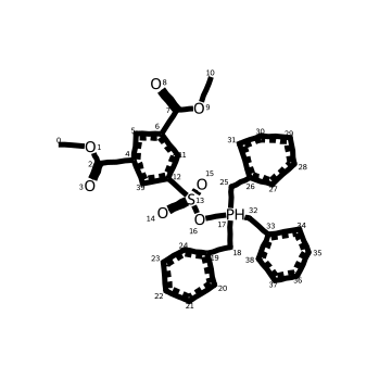 COC(=O)c1cc(C(=O)OC)cc(S(=O)(=O)O[PH](Cc2ccccc2)(Cc2ccccc2)Cc2ccccc2)c1